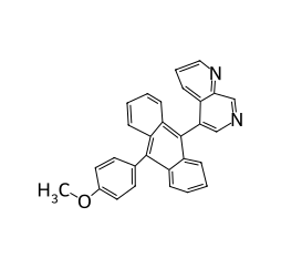 COc1ccc(-c2c3ccccc3c(-c3cncc4ncccc34)c3ccccc23)cc1